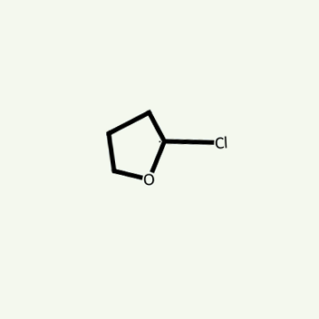 Cl[C]1CCCO1